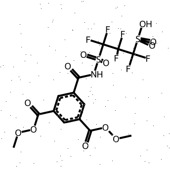 COOC(=O)c1cc(C(=O)NS(=O)(=O)C(F)(F)C(F)(F)C(F)(F)S(=O)(=O)O)cc(C(=O)OOC)c1